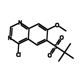 COc1cc2ncnc(Cl)c2cc1S(=O)(=O)C(C)(C)C